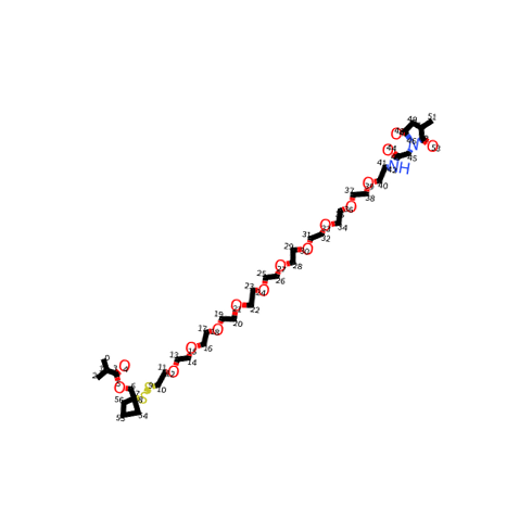 CC(C)C(=O)OCC1(SSCCOCCOCCOCCOCCOCCOCCOCCOCCOCCOCCNC(=O)CN2C(=O)CC(C)C2=O)CCC1